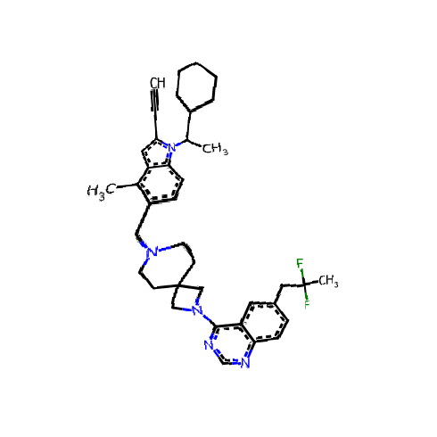 C#Cc1cc2c(C)c(CN3CCC4(CC3)CN(c3ncnc5ccc(CC(C)(F)F)cc35)C4)ccc2n1C(C)C1CCCCC1